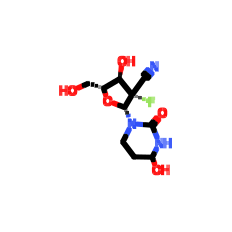 N#C[C@]1(F)[C@H](O)[C@@H](CO)O[C@H]1N1CCC(O)NC1=O